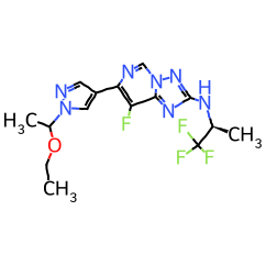 CCOC(C)n1cc(-c2ncn3nc(N[C@@H](C)C(F)(F)F)nc3c2F)cn1